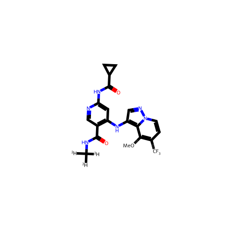 [2H]C([2H])([2H])NC(=O)c1cnc(NC(=O)C2CC2)cc1Nc1cnn2ccc(C(F)(F)F)c(OC)c12